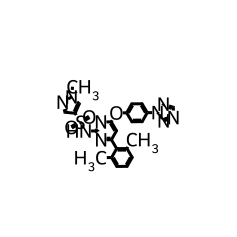 Cc1cccc(C)c1-c1cc(Oc2ccc(-n3ncnn3)cc2)nc(NS(=O)(=O)c2cnn(C)c2)n1